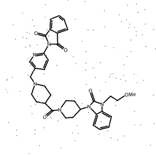 COCCn1c(=O)n(C2CCN(C(=O)C3CCN(Cc4ccc(N5C(=O)c6ccccc6C5=O)nc4)CC3)CC2)c2ccccc21